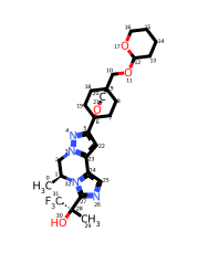 C[C@H]1Cn2nc(C34CCC(COC5CCCCO5)(CC3)CO4)cc2-c2cnc([C@@](C)(O)C(F)(F)F)n21